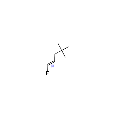 CC(C)(C)C/C=C/F